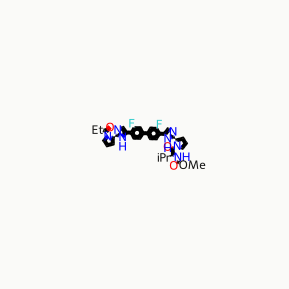 CCC(=O)N1CCC[C@H]1c1ncc(-c2ccc(-c3ccc(-c4cnc([C@@H]5CCCN5C(=O)[C@@H](NC(=O)OC)C(C)C)[nH]4)c(F)c3)cc2F)[nH]1